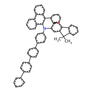 CC1(C)c2ccccc2-c2ccc(N(c3ccc(-c4ccc(-c5ccc(-c6ccccc6)cc5)cc4)cc3)c3c(-c4ccccc4)c4ccccc4c4ccccc34)cc21